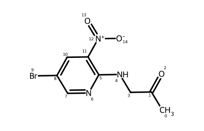 CC(=O)CNc1ncc(Br)cc1[N+](=O)[O-]